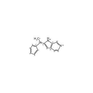 CN(c1ccccc1)c1cc2ccncc2[nH]1